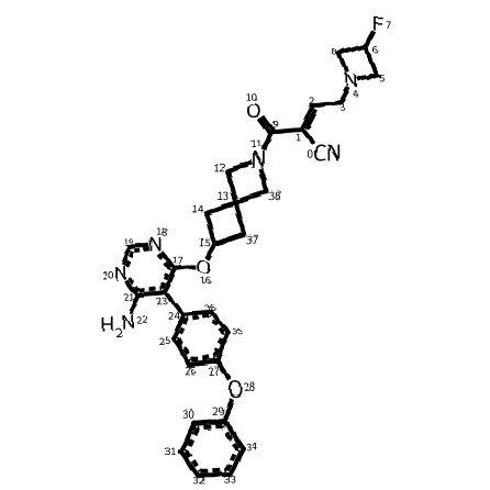 N#C/C(=C\CN1CC(F)C1)C(=O)N1CC2(CC(Oc3ncnc(N)c3-c3ccc(Oc4ccccc4)cc3)C2)C1